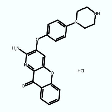 Cl.Nc1nc2c(=O)c3ccccc3oc2cc1Oc1ccc(N2CCNCC2)cc1